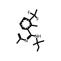 C=C(C)/N=C(/NC(C)(C)CC)c1cccc(C(C)(F)F)c1C